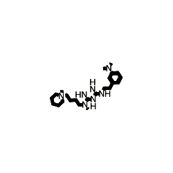 CN(CCCC[N+]1(C)CCCCC1)C(=N)NC(=N)NCCc1cccc(N(C)C)c1